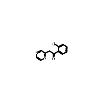 O=C(Cc1cnccn1)c1ccccc1Cl